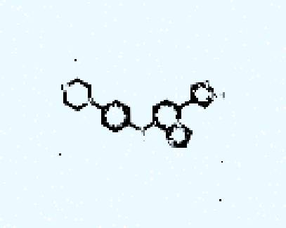 c1cn2c(-c3cn[nH]c3)ccc(Nc3ccc(N4CCOCC4)cc3)c2n1